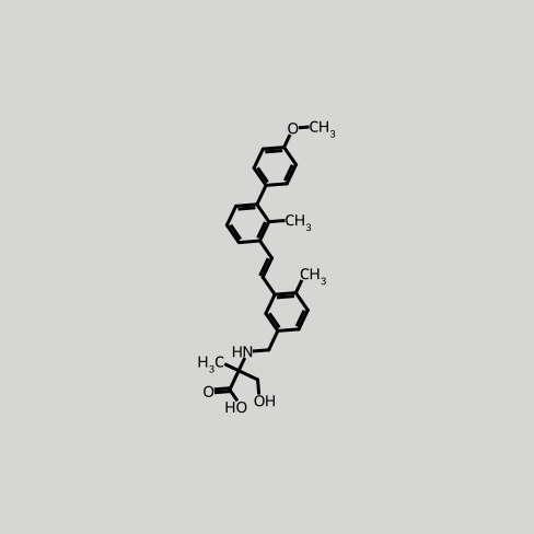 COc1ccc(-c2cccc(C=Cc3cc(CNC(C)(CO)C(=O)O)ccc3C)c2C)cc1